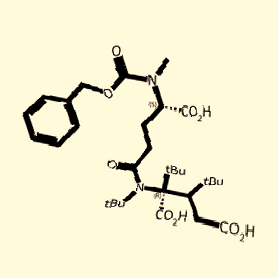 CN(C(=O)OCc1ccccc1)[C@@H](CCC(=O)N(C(C)(C)C)[C@](C(=O)O)(C(CC(=O)O)C(C)(C)C)C(C)(C)C)C(=O)O